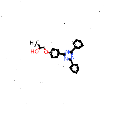 CC(O)COc1ccc(-c2nc(-c3ccccc3)nc(-c3ccccc3)n2)cc1